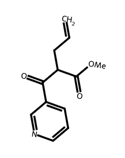 C=CCC(C(=O)OC)C(=O)c1cccnc1